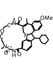 COc1ccc2c(c1)C(C)=C1CN3c4cc(ccc4C(C4CCCCC4)C23)C(=O)N[S+]([O-])N(C)CCOCCN(C)C1=O